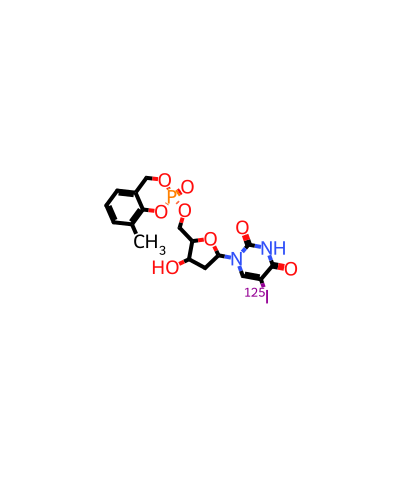 Cc1cccc2c1OP(=O)(OCC1OC(n3cc([125I])c(=O)[nH]c3=O)CC1O)OC2